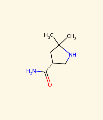 CC1(C)C[C@@H](C(N)=O)CN1